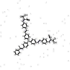 C/C(=C\c1ccc(N(c2ccc(/C=C/c3ccc(/C=C(\C#N)C(=O)O)cc3)cc2)c2ccc(/C=C/c3ccc(/C=C(\C#N)C(=O)O)cc3)cc2)cc1)c1ccccc1